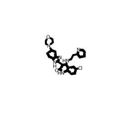 O=c1[nH]c2ccc(Cl)cc2c(NCCc2ccccn2)c1-c1nc2cc(N3CCOCC3)ccc2[nH]1